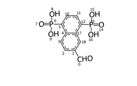 O=Cc1ccc2c(P(=O)(O)O)ccc(P(=O)(O)O)c2c1